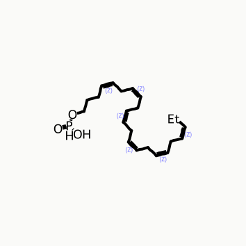 CC/C=C\C/C=C\C/C=C\C/C=C\C/C=C\C/C=C\CCCO[PH](=O)O